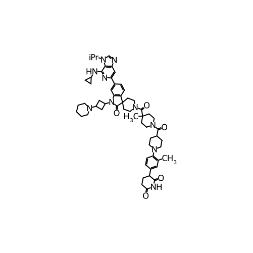 Cc1cc(C2CCC(=O)NC2=O)ccc1N1CCC(C(=O)N2CCC(C)(C(=O)N3CCC4(CC3)C(=O)N(C3CC(N5CCCCC5)C3)c3cc(-c5cc6ncn(C(C)C)c6c(NC6CC6)n5)ccc34)CC2)CC1